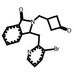 O=C1CC(CN2C(=O)c3ccccc3C2Cc2ncccc2Br)C1